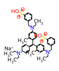 CCN(Cc1cccc(S(=O)(=O)O)c1)c1ccc(C(=C2C=CC(=[N+](CC)CC)C=C2)c2ccc(N(CC)Cc3cccc(S(=O)(=O)O)c3)cc2C)c(C)c1.[Na+]